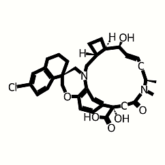 C[C@@H]1C/C=C/[C@H](O)[C@@H]2CC[C@H]2CN2C[C@@]3(CCCc4cc(Cl)ccc43)COc3ccc(cc32)[C@](O)(C(=O)O)CC(=O)N1C